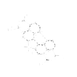 O=C(O)c1ccc2c3ccc(C(=O)O)c4c(C(=O)O)cc5c(c6c(cc(C(=O)O)c1c26)S5(O)O)c43